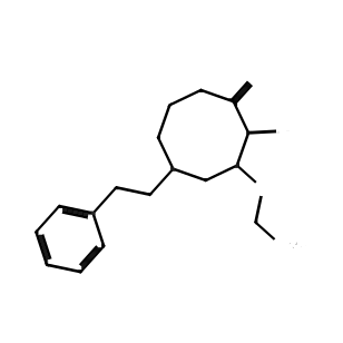 COCOC1CC(CCc2ccccc2)CCCC(=O)C1O